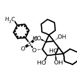 Cc1ccc(S(=O)(=O)O[C@H]2[C@H](O)[C@@]3(O)C4(CCCCC4)[C@@]3(O)[C@]3(O)C4(CCCCC4)[C@@]23O)cc1